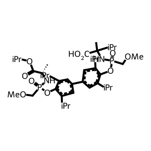 COCP(=O)(N[C@@H](C)C(=O)OC(C)C)Oc1c(C(C)C)cc(-c2cc(C(C)C)c(OP(=O)(COC)NC(C)(C(=O)O)C(C)C)c(C(C)C)c2)cc1C(C)C